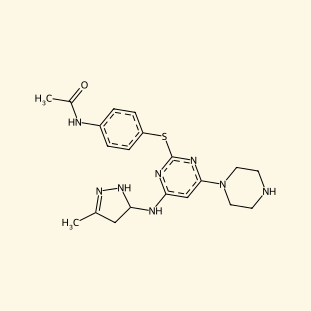 CC(=O)Nc1ccc(Sc2nc(NC3CC(C)=NN3)cc(N3CCNCC3)n2)cc1